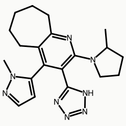 CC1CCCN1c1nc2c(c(-c3ccnn3C)c1-c1nnn[nH]1)CCCCC2